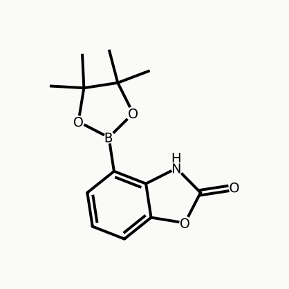 CC1(C)OB(c2cccc3oc(=O)[nH]c23)OC1(C)C